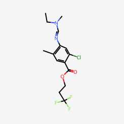 CCN(C)/C=N/c1cc(Cl)c(C(=O)OCCC(F)(F)F)cc1C